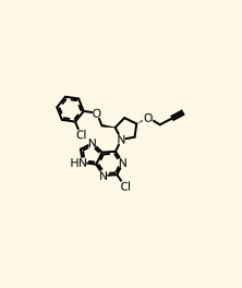 C#CCO[C@H]1C[C@H](COc2ccccc2Cl)N(c2nc(Cl)nc3[nH]cnc23)C1